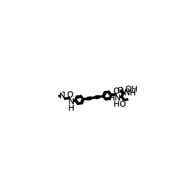 CC(O)C(NC(=O)c1ccc(C#CC#Cc2ccc(NC(=O)CN(C)C)cc2)cc1)C(=O)NO